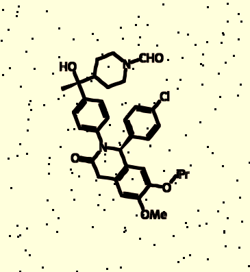 COc1cc2c(cc1OC(C)C)[C@H](c1ccc(Cl)cc1)N(c1ccc([C@](C)(O)C3CCN(C=O)CC3)cc1)C(=O)C2